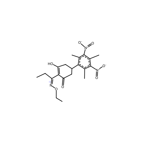 CCO/N=C(/CC)C1=C(O)CC(c2c(C)c([N+](=O)[O-])c(C)c([N+](=O)[O-])c2C)CC1=O